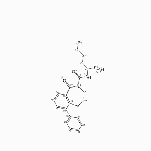 CC(C)CSCC(NC(=O)N1CCCc2c(cccc2-c2ccccc2)C1=O)C(=O)O